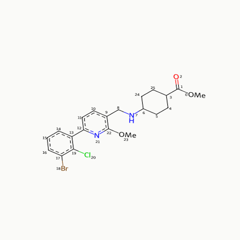 COC(=O)C1CCC(NCc2ccc(-c3cccc(Br)c3Cl)nc2OC)CC1